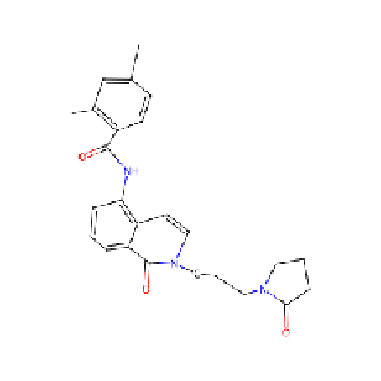 Cc1ccc(C(=O)Nc2cccc3c(=O)n(CCCN4CCCC4=O)ccc23)c(C)c1